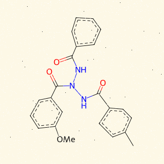 COc1cccc(C(=O)N(NC(=O)c2ccccc2)NC(=O)c2ccc(C)cc2)c1